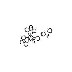 CC1(C)c2ccccc2-c2ccc(-c3ccc4sc5nc(-c6cccc7oc8ccccc8c67)nc(-c6cccc7oc8ccccc8c67)c5c4c3)cc21